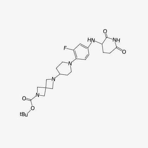 CC(C)(C)OC(=O)N1CC2(C1)CN(C1CCN(c3ccc(NC4CCC(=O)NC4=O)cc3F)CC1)C2